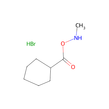 Br.CNOC(=O)C1CCCCC1